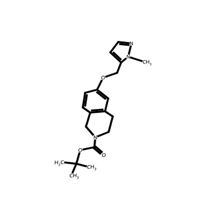 Cn1nccc1COc1ccc2c(c1)CCN(C(=O)OC(C)(C)C)C2